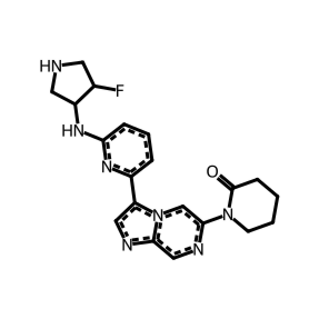 O=C1CCCCN1c1cn2c(-c3cccc(NC4CNCC4F)n3)cnc2cn1